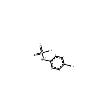 O=S(=O)(F)Nc1ccc(F)cc1